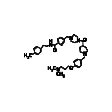 Cc1ccc(CCNC(=O)c2ccc(CN3CCN(C(=O)C4CCN(Cc5ccc(OCCCN(C)C)cc5)CC4)CC3)cc2)cc1